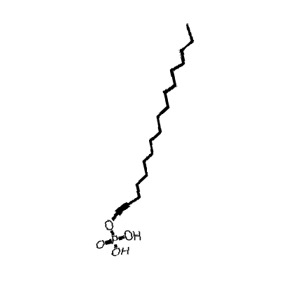 CCCCCCCCCCCCCCCCC#COP(=O)(O)O